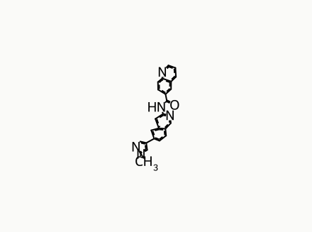 Cn1cc(-c2ccc3cnc(NC(=O)c4ccc5ncccc5c4)cc3c2)cn1